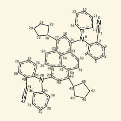 N#Cc1ccccc1N(c1ccccc1)c1cc(C2CCCC2)c2ccc3c(N(c4ccccc4)c4ccccc4C#N)cc(C4CCCC4)c4ccc1c2c43